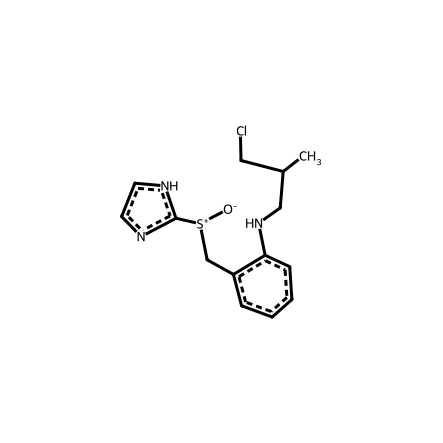 CC(CCl)CNc1ccccc1C[S+]([O-])c1ncc[nH]1